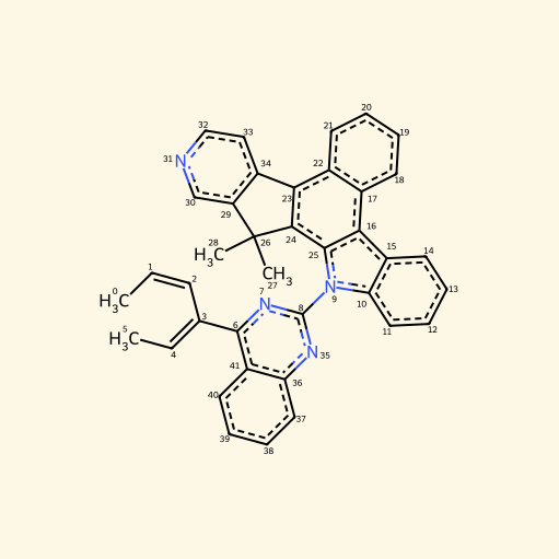 C/C=C\C(=C/C)c1nc(-n2c3ccccc3c3c4ccccc4c4c(c32)C(C)(C)c2cnccc2-4)nc2ccccc12